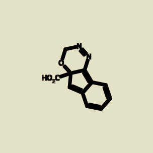 O=C(O)C12C=c3ccccc3=C1N=NCO2